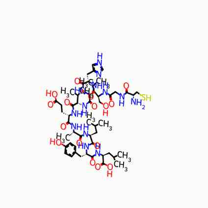 CC(C)C[C@H](NC(=O)[C@H](Cc1ccc(O)cc1)NC(=O)[C@H](CC(C)C)NC(=O)[C@H](C)NC(=O)[C@H](CCC(=O)O)NC(=O)[C@@H](NC(=O)[C@H](CC(C)C)NC(=O)[C@H](Cc1c[nH]cn1)NC(=O)[C@H](CO)NC(=O)CNC(=O)[C@@H](N)CS)C(C)C)C(=O)O